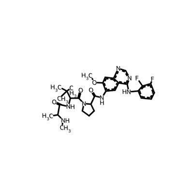 CNC(C)C(=O)NC(C(=O)N1CCCC1C(=O)Nc1cc2c(Nc3cccc(F)c3F)ncnc2cc1OC)C(C)(C)C